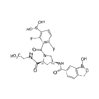 O=C(O)CNC(=O)[C@@H]1C[C@H](NC(=O)c2ccc3c(c2)B(O)OC3)CN1C(=O)c1c(F)ccc(B(O)O)c1F